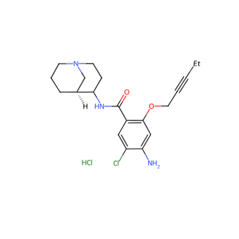 CCC#CCOc1cc(N)c(Cl)cc1C(=O)NC1CCN2CCC[C@H]1C2.Cl